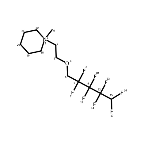 C[N+]1(CCOCC(F)(F)C(F)(F)C(F)(F)C(F)F)CCCCC1